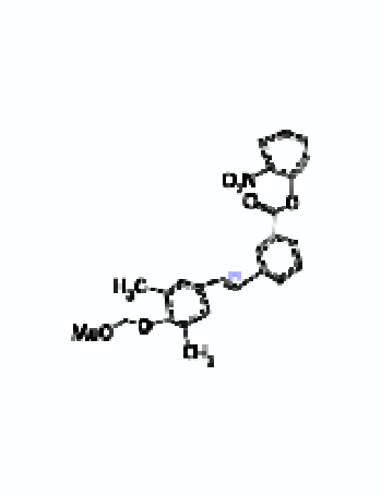 COCOc1c(C)cc(/C=C/c2cccc(C(=O)Oc3ccccc3[N+](=O)[O-])c2)cc1C